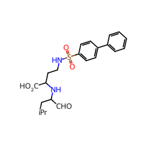 CC(C)CC(C=O)NC(CCNS(=O)(=O)c1ccc(-c2ccccc2)cc1)C(=O)O